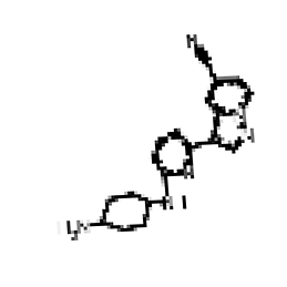 N#Cc1ccn2ncc(-c3cccc(NC4CCC(N)CC4)n3)c2c1